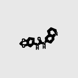 O=C(Nc1ccc2c(c1)OCO2)Nc1ccc2ncccc2c1